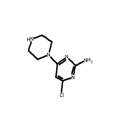 Nc1nc(Cl)cc(N2CCNCC2)n1